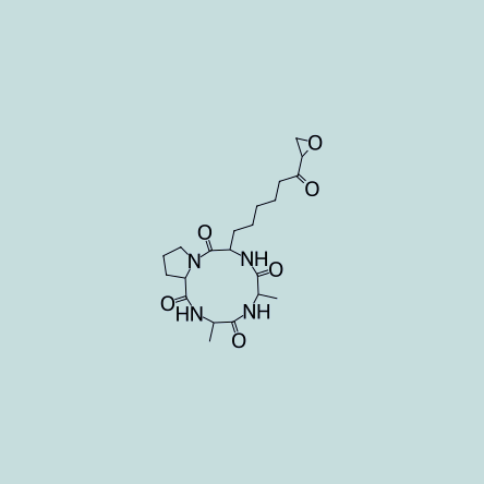 CC1NC(=O)C(C)NC(=O)C2CCCN2C(=O)C(CCCCCC(=O)C2CO2)NC1=O